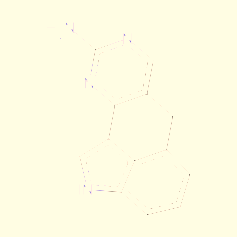 Nc1ncc2c(n1)-c1c[nH]c3cccc(c13)C2